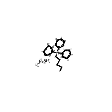 CCCCC[P+](c1ccccc1)(c1ccccc1)c1ccccc1.[Br-].[NH2-].[Na+]